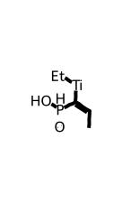 CC=[C]([Ti][CH2]C)[PH](=O)O